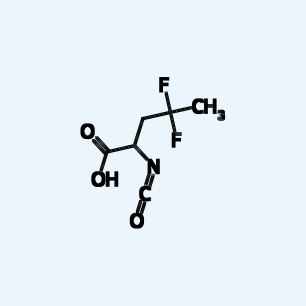 CC(F)(F)CC(N=C=O)C(=O)O